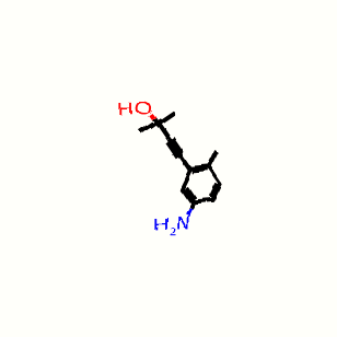 Cc1ccc(N)cc1C#CC(C)(C)O